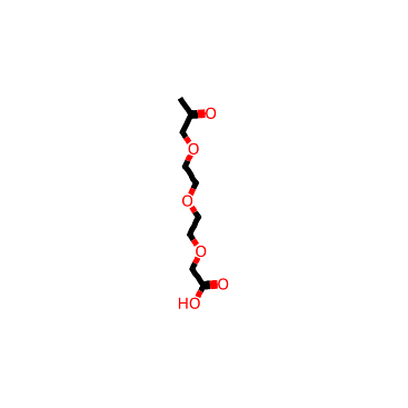 CC(=O)COCCOCCOCC(=O)O